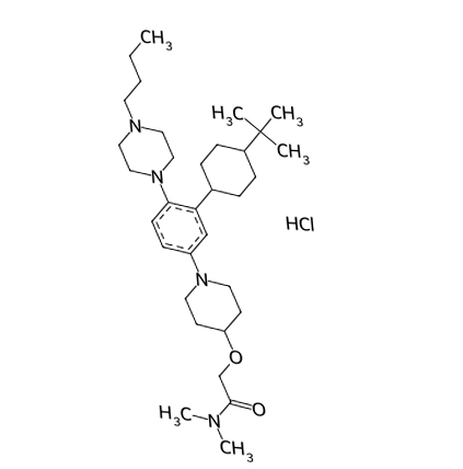 CCCCN1CCN(c2ccc(N3CCC(OCC(=O)N(C)C)CC3)cc2C2CCC(C(C)(C)C)CC2)CC1.Cl